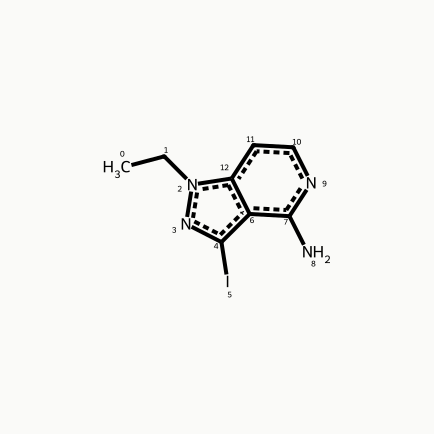 CCn1nc(I)c2c(N)nccc21